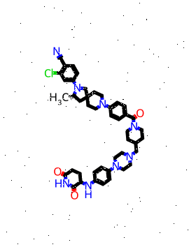 C[C@@H]1CC2(CCN(c3ccc(C(=O)N4CCC(CN5CCN(c6ccc(NC7CCC(=O)NC7=O)cc6)CC5)CC4)cc3)CC2)CN1c1ccc(C#N)c(Cl)c1